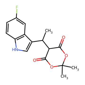 CC(c1c[nH]c2ccc(F)cc12)C1C(=O)OC(C)(C)OC1=O